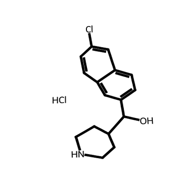 Cl.OC(c1ccc2cc(Cl)ccc2c1)C1CCNCC1